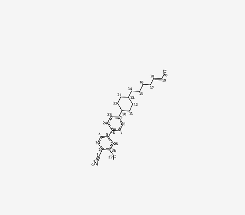 N#Cc1ccc(-c2ccc(C3CCC(CCCCC=CF)CC3)cc2)cc1F